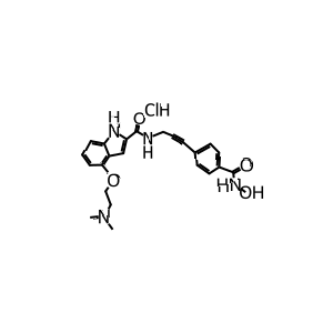 CN(C)CCOc1cccc2[nH]c(C(=O)NCC#Cc3ccc(C(=O)NO)cc3)cc12.Cl